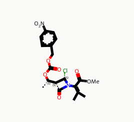 COC(=O)C(=C(C)C)N1C(=O)[C@H]([C@H](C)OC(=O)OCc2ccc([N+](=O)[O-])cc2)[C@@H]1Cl